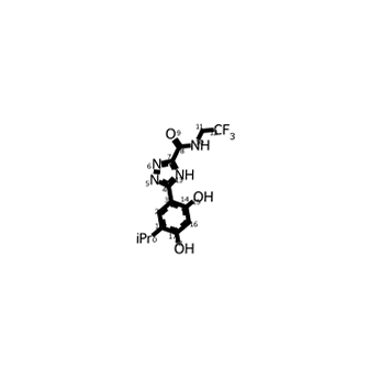 CC(C)c1cc(-c2nnc(C(=O)NCC(F)(F)F)[nH]2)c(O)cc1O